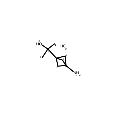 CC(C)(O)C12CC(N)(C1)C2.Cl